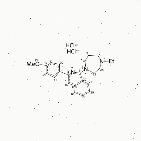 CCN1CCCN(c2nc(-c3ccc(OC)cc3)cc3ccccc23)CC1.Cl.Cl